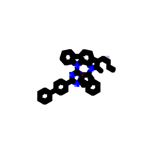 C=C/C=C\c1c(C)n(-c2ccccc2)c2c1ccc1c3ccccc3n(-c3nc(-c4ccccc4)nc(-c4ccc(-c5ccccc5)cc4)n3)c12